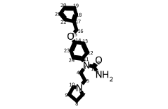 NC(=O)N(CCN1CCCC1)c1ccc(OCc2ccccc2)cc1